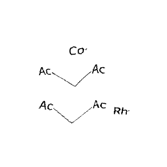 CC(=O)CC(C)=O.CC(=O)CC(C)=O.[Co].[Rh]